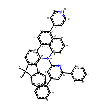 CC1(C)c2ccccc2-c2c1ccc1c2N(c2cc(-c3ccccc3)cc(-c3ccccc3)n2)c2cccc3c(-c4ccncc4)ccc-1c23